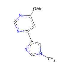 COc1cc(-c2cn(C)cn2)ncn1